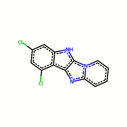 Clc1cc(Cl)c2c(c1)[nH]c1c2nc2ccccn21